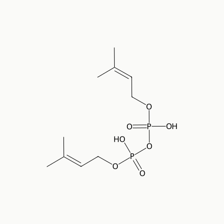 CC(C)=CCOP(=O)(O)OP(=O)(O)OCC=C(C)C